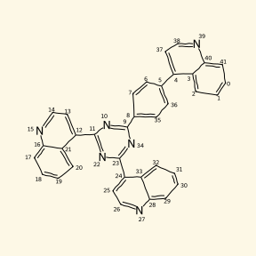 c1ccc2c(-c3ccc(-c4nc(-c5ccnc6ccccc56)nc(-c5ccnc6ccccc56)n4)cc3)ccnc2c1